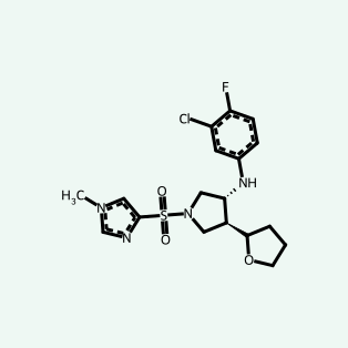 Cn1cnc(S(=O)(=O)N2C[C@H](Nc3ccc(F)c(Cl)c3)[C@@H](C3CCCO3)C2)c1